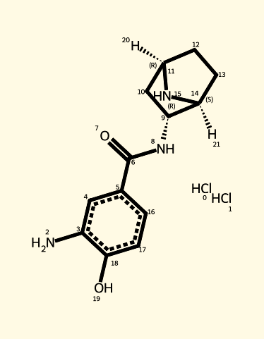 Cl.Cl.Nc1cc(C(=O)N[C@@H]2C[C@H]3CC[C@@H]2N3)ccc1O